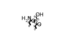 C=CC(=O)OCCO.C=CC(N)=O